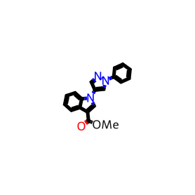 COC(=O)c1cn(-c2cnn(-c3ccccc3)c2)c2ccccc12